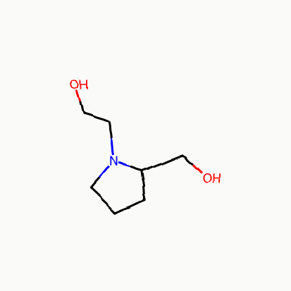 OCCN1CCCC1CO